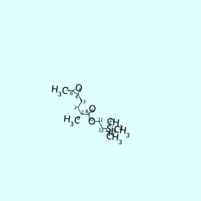 C[C@H](CC[C@@H]1O[C@@H]1C)C(=O)OCC[Si](C)(C)C